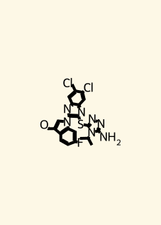 CC(C)n1c(N)nnc1Sc1nc2cc(Cl)c(Cl)cc2nc1-n1cc(C=O)c2ccc(F)cc21